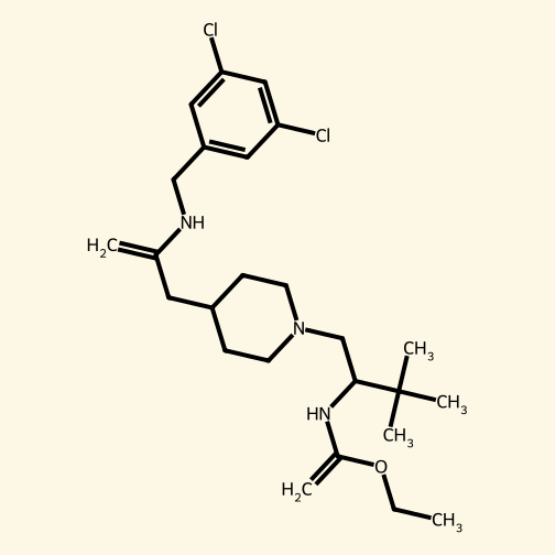 C=C(CC1CCN(CC(NC(=C)OCC)C(C)(C)C)CC1)NCc1cc(Cl)cc(Cl)c1